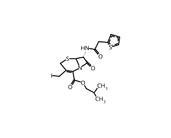 CC(C)COC(=O)C1=C(CI)CSC2[C@H](NC(=O)Cc3cccs3)C(=O)N12